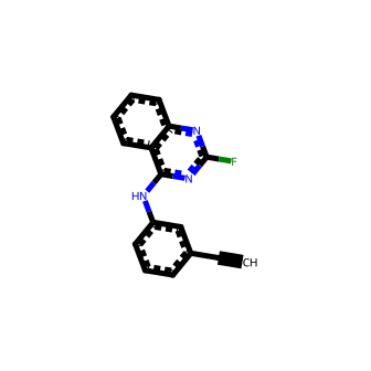 C#Cc1cccc(Nc2nc(F)nc3ccccc23)c1